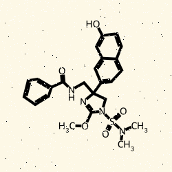 COC1=NC(CNC(=O)c2ccccc2)(c2ccc3ccc(O)cc3c2)CN1S(=O)(=O)N(C)C